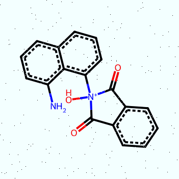 Nc1cccc2cccc([N+]3(O)C(=O)c4ccccc4C3=O)c12